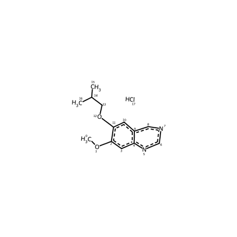 COc1cc2ncncc2cc1OCC(C)C.Cl